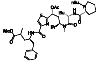 CCCCN1CCCC[C@@H]1C(=O)N[C@H](C(=O)N(C)[C@H](C[C@@H](OC(C)=O)c1nc(C(=O)N[C@@H](Cc2ccccc2)CC(C)C(=O)OC)cs1)C(C)C)[C@@H](C)CC